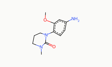 COc1cc(N)ccc1N1CCCN(C)C1=O